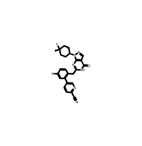 CC1(F)CCC(n2ncc3c(=O)[nH]c(Cc4ccc(F)cc4-c4ccc(C#N)nc4)nc32)CC1